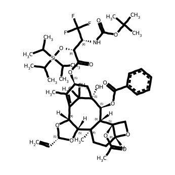 C=C[C@@H]1O[C@@H]2C3=C(C)[C@@H](OC(=O)[C@H](O[Si](C(C)C)(C(C)C)C(C)C)[C@@H](NC(=O)OC(C)(C)C)C(F)(F)F)C[C@@](O)([C@@H](OC(=O)c4ccccc4)[C@H]4[C@@](C)(CC[C@H]5OC[C@]54OC(C)=O)[C@@H]2O1)C3(C)C